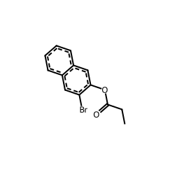 CCC(=O)Oc1cc2ccccc2cc1Br